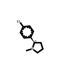 CCc1ccc([C@H]2CCCN2C)cc1